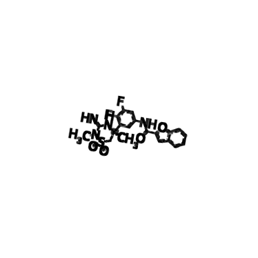 CN1C(=N)N[C@](C)(c2cc(NC(=O)c3cc4ccccc4o3)cc(F)c2F)CS1(=O)=O